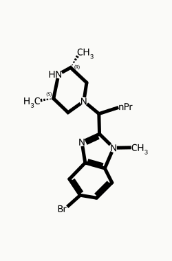 CCCC(c1nc2cc(Br)ccc2n1C)N1C[C@@H](C)N[C@@H](C)C1